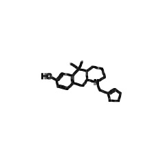 CC1(C)c2cc(O)ccc2CC2C1CCCN2CC1=CCCC1